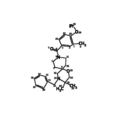 Cc1cc(C(=O)N2CCC3(CC2)CN(Cc2ccccc2)C(C)(C)CO3)ccc1OC(C)C